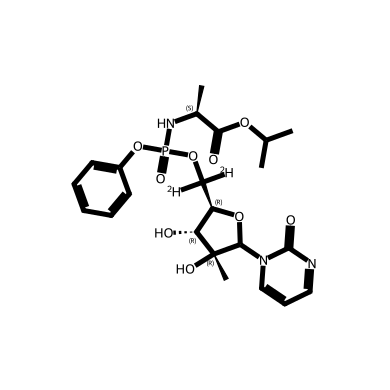 [2H]C([2H])(OP(=O)(N[C@@H](C)C(=O)OC(C)C)Oc1ccccc1)[C@H]1OC(n2cccnc2=O)[C@](C)(O)[C@@H]1O